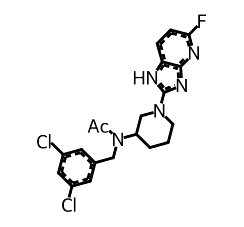 CC(=O)N(Cc1cc(Cl)cc(Cl)c1)C1CCCN(c2nc3nc(F)ccc3[nH]2)C1